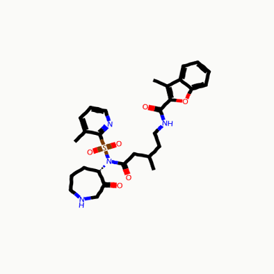 Cc1cccnc1S(=O)(=O)N(C(=O)CC(C)CCNC(=O)c1oc2ccccc2c1C)[C@H]1CCCNCC1=O